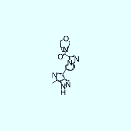 Cc1ncc(-c2ccc3ncc(C(=O)N4C5CCC4COC5)n3c2)c2cn[nH]c12